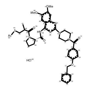 COc1cc2nc(N3CCN(C(=O)c4ccc(OCc5ccccc5)cc4)CC3)nc(NC(=O)[C@@H]3CCCN3C(=O)C(C)CSC(C)=O)c2cc1OC.Cl